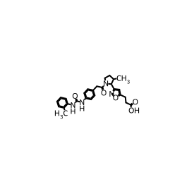 Cc1ccccc1NC(=O)Nc1ccc(CC(=O)N2CCC(C)C2c2cc(CCC(=O)O)on2)cc1